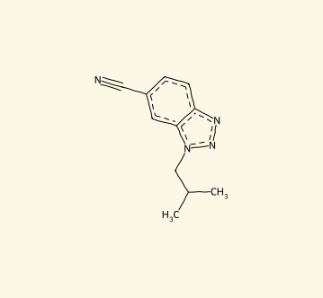 CC(C)Cn1nnc2ccc(C#N)cc21